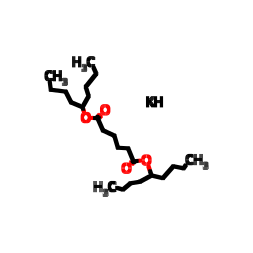 CCCCC(CCCC)OC(=O)CCCCC(=O)OC(CCCC)CCCC.[KH]